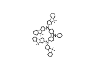 CC1(C)C2=CCCC=C2c2ccc(N(c3ccc4c(c3)C(C)(C)c3ccccc3-4)c3ccc4c(c3)c3cc(N(c5ccc6c(c5)C(C)(C)c5ccccc5-6)c5ccc6c(c5)C(C)(C)c5ccccc5-6)ccc3n4-c3ccccc3)cc21